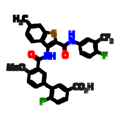 COc1ccc(-c2cc(C(=O)O)ccc2F)cc1C(=O)Nc1c(C(=O)Nc2ccc(F)c(C(F)(F)F)c2)sc2cc(C)ccc12